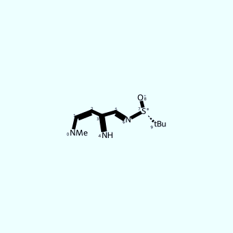 CN/C=C\C(=N)/C=N/[S@+]([O-])C(C)(C)C